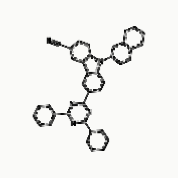 N#Cc1ccc2c(c1)c1cc(-c3nc(-c4ccccc4)nc(-c4ccccc4)n3)ccc1n2-c1ccc2ccccc2c1